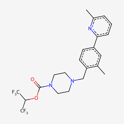 Cc1cccc(-c2ccc(CN3CCN(C(=O)OC(C(F)(F)F)C(F)(F)F)CC3)c(C)c2)n1